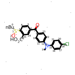 CCCC[S+]([O-])c1ccc(C(=O)c2ccc(N(C)c3ccc(Cl)cc3)cc2)cc1C(=O)O